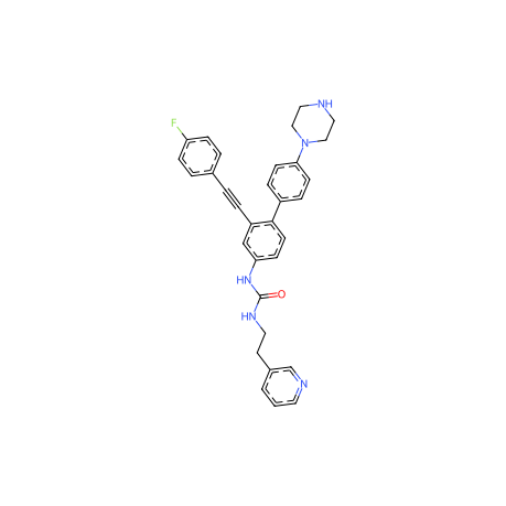 O=C(NCCc1cccnc1)Nc1ccc(-c2ccc(N3CCNCC3)cc2)c(C#Cc2ccc(F)cc2)c1